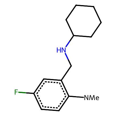 CNc1ccc(F)cc1CNC1CCCCC1